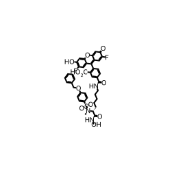 CN([C@H](CCCCCNC(=O)c1ccc(-c2c3cc(F)c(=O)cc-3oc3cc(O)c(F)cc23)c(C(=O)O)c1)C(=O)NO)S(=O)(=O)c1ccc(OCc2ccccc2)cc1